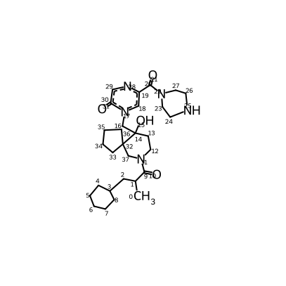 CC(CC1CCCCC1)C(=O)N1CCC(O)(Cn2cc(C(=O)N3CCNCC3)ncc2=O)C2(CCCC2)C1